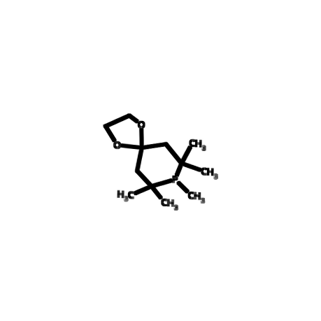 CP1C(C)(C)CC2(CC1(C)C)OCCO2